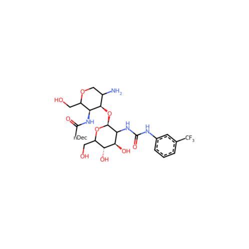 CCCCCCCCCCC(=O)N[C@H]1C(CO)OCC(N)[C@H]1O[C@@H]1OC(CO)[C@@H](O)[C@H](O)C1NC(=O)Nc1cccc(C(F)(F)F)c1